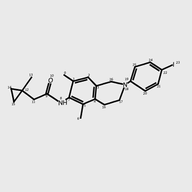 Cc1cc2c(c(C)c1NC(=O)CC1(C)CC1)CCN(c1ccc(I)cc1)C2